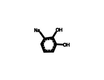 Oc1ccc[c]([Na])c1O